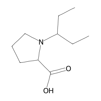 CCC(CC)N1CCCC1C(=O)O